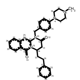 CN1CCN(c2ccc(CN3C(=O)CC(CCc4ccccc4)n4c3nc3ccccc3c4=O)cc2)CC1